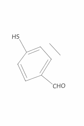 CC.O=Cc1ccc(S)cc1